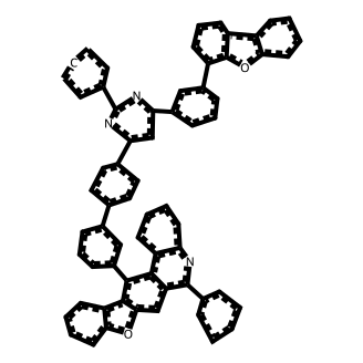 c1ccc(-c2nc(-c3ccc(-c4cccc(-c5c6c(cc7c(-c8ccccc8)nc8ccccc8c57)oc5ccccc56)c4)cc3)cc(-c3cccc(-c4cccc5c4oc4ccccc45)c3)n2)cc1